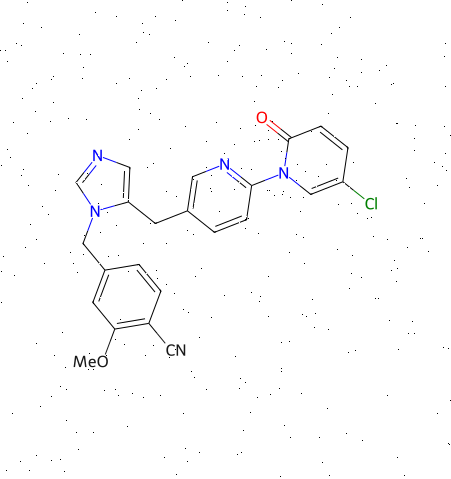 COc1cc(Cn2cncc2Cc2ccc(-n3cc(Cl)ccc3=O)nc2)ccc1C#N